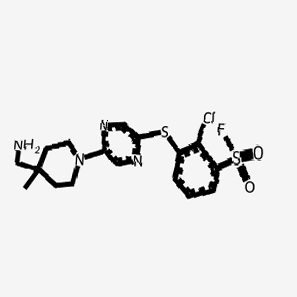 CC1(CN)CCN(c2cnc(Sc3cccc(S(=O)(=O)F)c3Cl)cn2)CC1